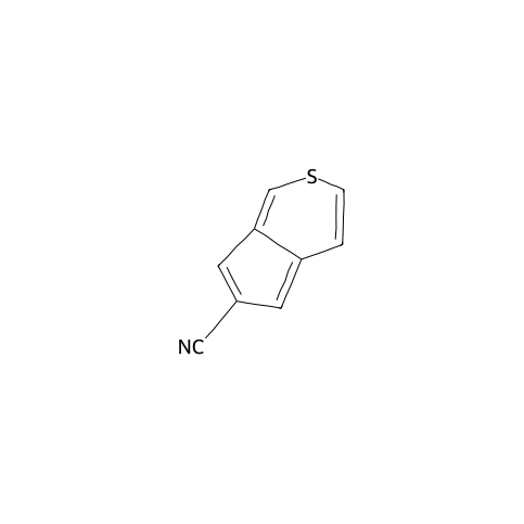 N#Cc1cc2ccscc-2c1